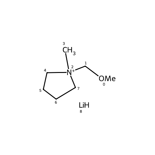 COC[N+]1(C)CCCC1.[LiH]